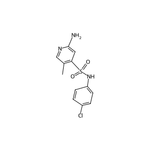 Cc1cnc(N)cc1S(=O)(=O)Nc1ccc(Cl)cc1